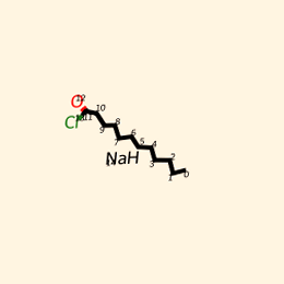 CCCCCCCCCCCC(=O)Cl.[NaH]